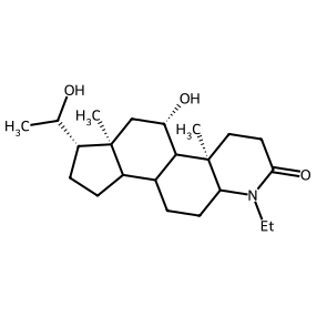 CCN1C(=O)CC[C@]2(C)C3C(CCC12)C1CC[C@H](C(C)O)[C@@]1(C)C[C@@H]3O